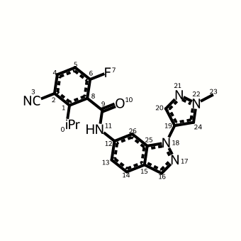 CC(C)c1c(C#N)ccc(F)c1C(=O)Nc1ccc2cnn(-c3cnn(C)c3)c2c1